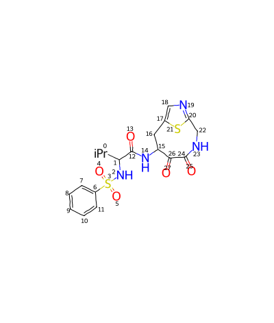 CC(C)C(NS(=O)(=O)c1ccccc1)C(=O)NC1Cc2cnc(s2)CNC(=O)C1=O